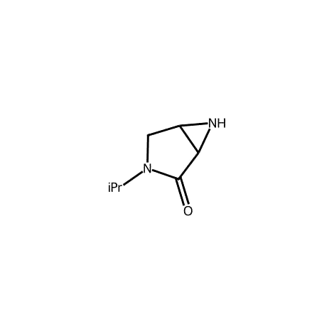 CC(C)N1CC2NC2C1=O